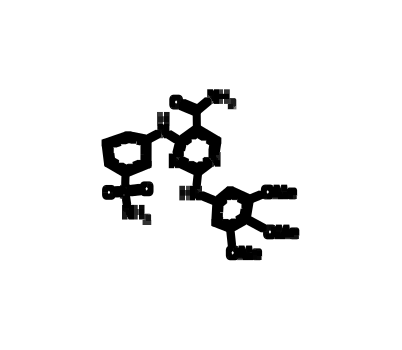 COc1cc(Nc2ncc(C(N)=O)c(Nc3cccc(S(N)(=O)=O)c3)n2)cc(OC)c1OC